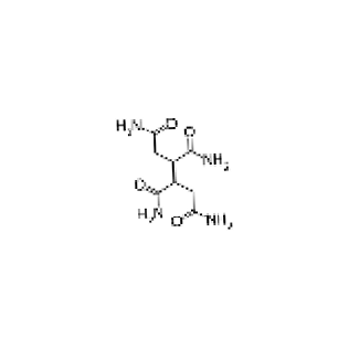 NC(=O)CC(C(N)=O)C(CC(N)=O)C(N)=O